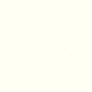 C=C(C(=O)OC(OCCCC(F)(F)C(F)(F)S(=O)(=O)O)(C(=O)NC(C)(C)C)C(F)(F)F)C(F)(F)F